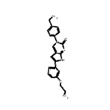 NCCOc1cccc(-c2cc3cn(-c4ccc(CN)cc4)c(=O)nc3[nH]2)c1